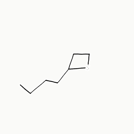 CCCCC1CCS1